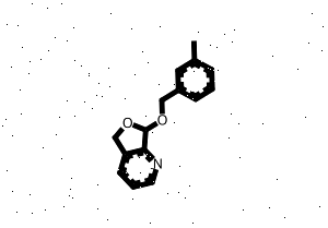 Cc1cccc(COC2OCc3cccnc32)c1